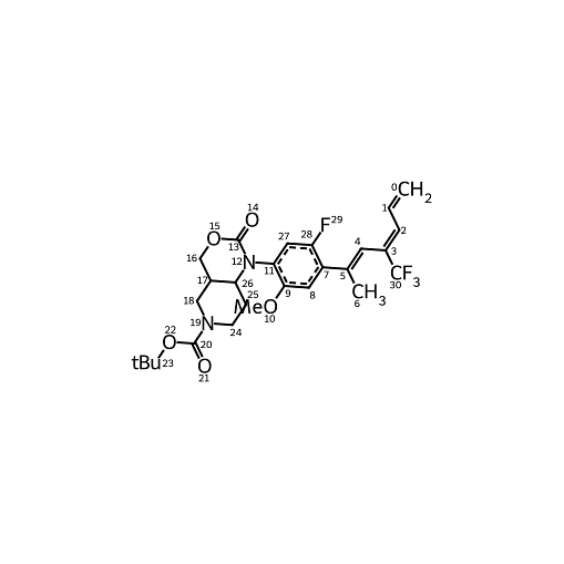 C=C/C=C(\C=C(/C)c1cc(OC)c(N2C(=O)OCC3CN(C(=O)OC(C)(C)C)CCC32)cc1F)C(F)(F)F